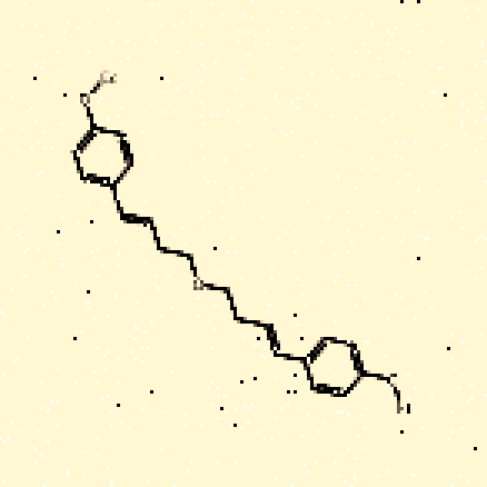 CCOc1ccc(C=CCCOCCC=Cc2ccc(OCC)cc2)cc1